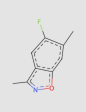 Cc1cc2onc(C)c2cc1F